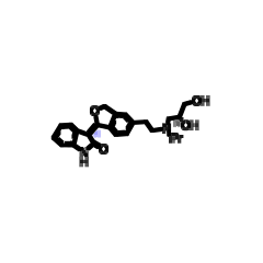 CC(C)N(CCc1ccc2c(c1)CO/C2=C1/C(=O)Nc2ccccc21)C[C@H](O)CO